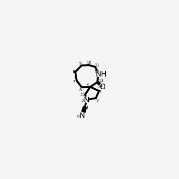 N#CN1CCC2(CCCCCCNC2=O)C1